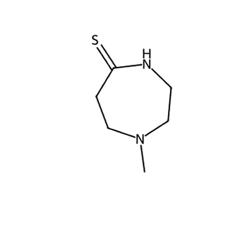 CN1CCNC(=S)CC1